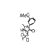 COc1cccc(N2C(=O)N(SC(F)(Cl)Cl)NC2C)c1